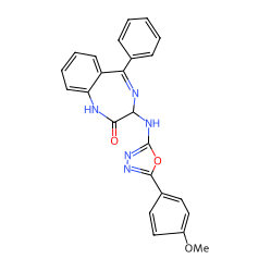 COc1ccc(-c2nnc(NC3N=C(c4ccccc4)c4ccccc4NC3=O)o2)cc1